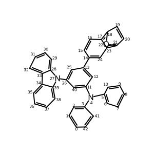 c1ccc(N(c2ccccc2)c2cc(-c3ccc4c5ccc(o5)c4c3)cc(-n3c4ccccc4c4ccccc43)c2)cc1